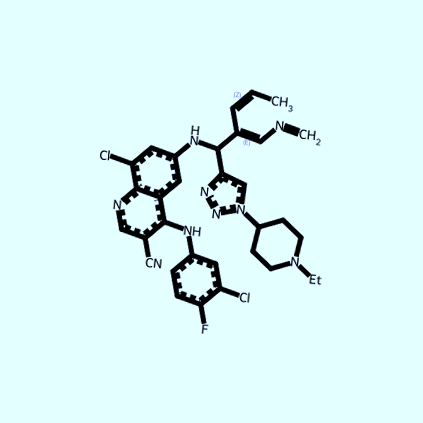 C=N/C=C(\C=C/C)C(Nc1cc(Cl)c2ncc(C#N)c(Nc3ccc(F)c(Cl)c3)c2c1)c1cn(C2CCN(CC)CC2)nn1